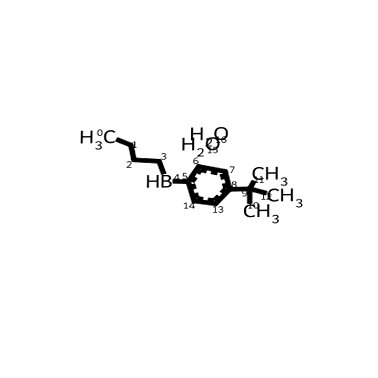 CCCCBc1ccc(C(C)(C)C)cc1.O.O